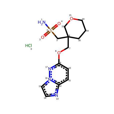 Cl.NS(=O)(=O)CC1(COc2ccc3nccn3n2)CCCOC1